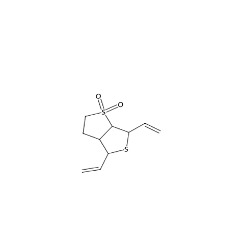 C=CC1SC(C=C)C2C1CCS2(=O)=O